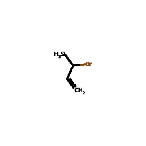 C=CC([SiH3])Br